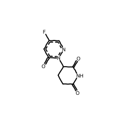 O=C1CCC(n2ncc(F)cc2=O)C(=O)N1